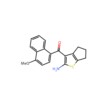 COc1ccc(C(=O)c2c(N)sc3c2CCC3)c2ccccc12